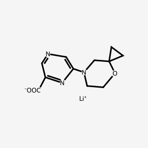 O=C([O-])c1cncc(N2CCOC3(CC3)C2)n1.[Li+]